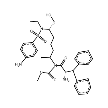 CCN([C@H](CO)CCC[C@H](C)N(C(=O)OC)C(=O)[C@@H](N)C(c1ccccc1)c1ccccc1)S(=O)(=O)c1ccc(N)cc1